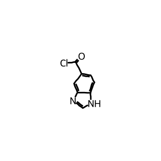 O=C(Cl)c1ccc2[nH]cnc2c1